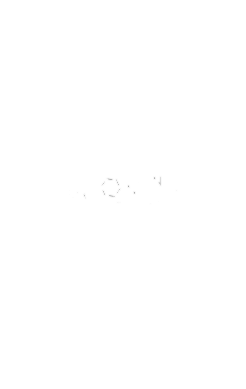 COC(=O)C(C)c1ccc(N2CC(N)C(O)C2)c(Cl)c1